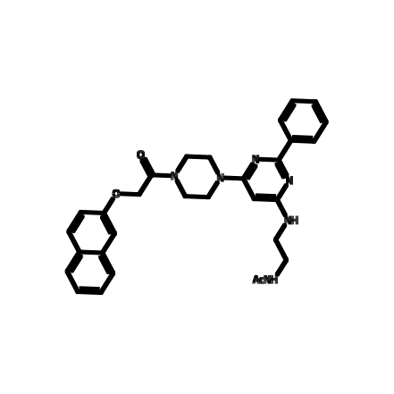 CC(=O)NCCNc1cc(N2CCN(C(=O)COc3ccc4ccccc4c3)CC2)nc(-c2ccccc2)n1